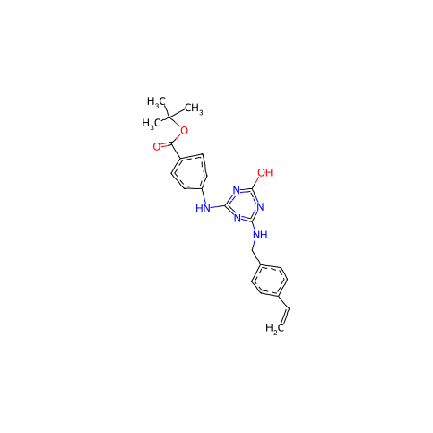 C=Cc1ccc(CNc2nc(O)nc(Nc3ccc(C(=O)OC(C)(C)C)cc3)n2)cc1